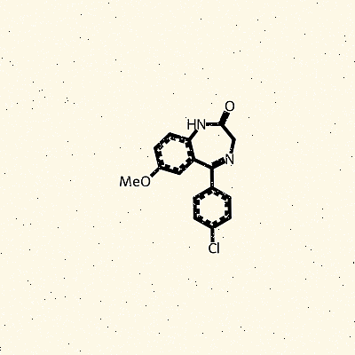 COc1ccc2c(c1)C(c1ccc(Cl)cc1)=NCC(=O)N2